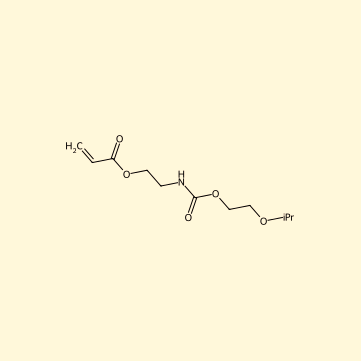 C=CC(=O)OCCNC(=O)OCCOC(C)C